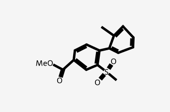 COC(=O)c1ccc(-c2ccccc2C)c(S(C)(=O)=O)c1